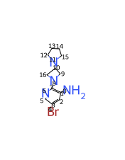 Nc1cc(Br)cnc1N1CC(N2CCCC2)C1